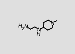 CN1CCC(NCCN)CC1